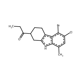 CCC(=O)C1CCc2c([nH]c3c(C)cc(Cl)c(Br)c23)C1